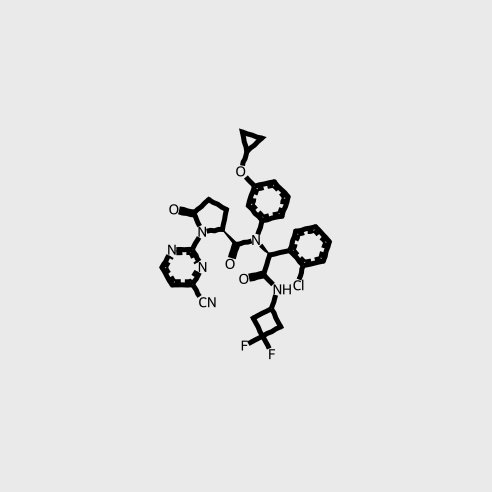 N#Cc1ccnc(N2C(=O)CC[C@H]2C(=O)N(c2cccc(OC3CC3)c2)[C@H](C(=O)NC2CC(F)(F)C2)c2ccccc2Cl)n1